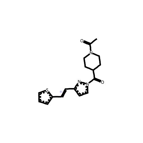 CC(=O)N1CCC(C(=O)n2ccc(/C=C/c3cccs3)n2)CC1